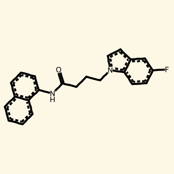 O=C(CCCn1ccc2cc(F)ccc21)Nc1cccc2ccccc12